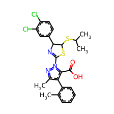 Cc1ccccc1-c1c(C)nn(C2=NC(c3ccc(Cl)c(Cl)c3)C(SC(C)C)S2)c1C(=O)O